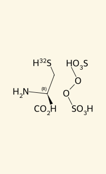 N[C@@H](C[32SH])C(=O)O.O=S(=O)(O)OOS(=O)(=O)O